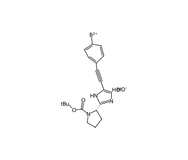 [B+2]c1ccc(C#Cc2cnc([C@@H]3CCCN3C(=O)OC(C)(C)C)[nH]2)cc1.[OH-].[OH-]